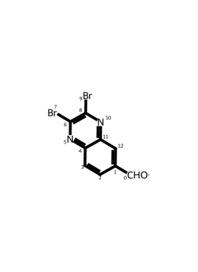 O=[C]c1ccc2nc(Br)c(Br)nc2c1